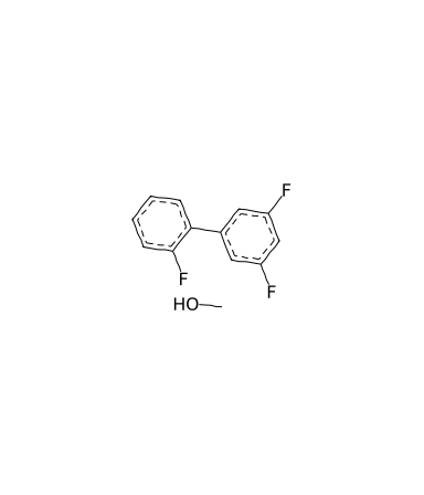 CO.Fc1cc(F)cc(-c2ccccc2F)c1